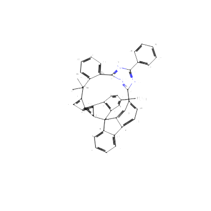 CC(C)(C)c1ccc2c(c1)C13c4ccccc4-c4ccc(cc41)-c1nc(-c4ccccc4)nc(n1)-c1ccccc1C(C)(C)c1ccc-2c3c1